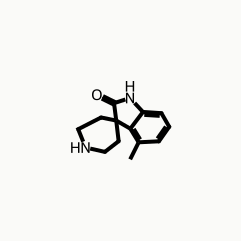 Cc1cccc2c1C1(CCNCC1)C(=O)N2